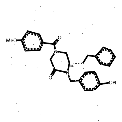 COc1ccc(C(=O)N2CC(=O)N(Cc3ccc(O)cc3)[C@@H](CCc3ccccc3)C2)cc1